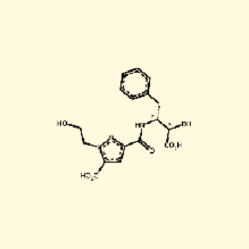 O=C(N[C@H](Cc1ccccc1)[C@@H](O)C(=O)O)c1cc(C(=O)O)n(CCO)n1